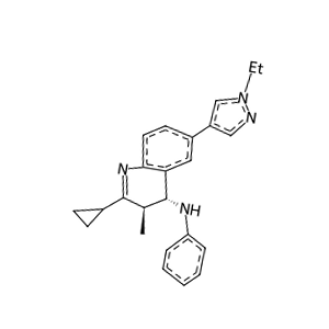 CCn1cc(-c2ccc3c(c2)[C@H](Nc2ccccc2)[C@@H](C)C(C2CC2)=N3)cn1